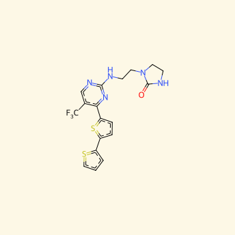 O=C1NCCN1CCNc1ncc(C(F)(F)F)c(-c2ccc(-c3cccs3)s2)n1